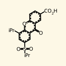 CC(C)c1cc(S(=O)(=O)C(C)C)cc2c(=O)c3cc(C(=O)O)ccc3oc12